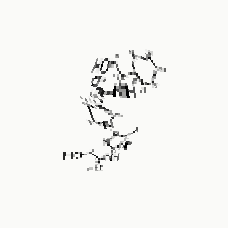 CCC(CO)NC1=NC(C)C(n2ccc(C(=O)NC(CO)c3ccccc3)c2)=N1